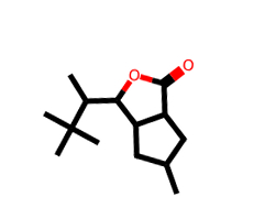 CC1CC2C(=O)OC(C(C)C(C)(C)C)C2C1